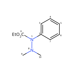 CCOC(=O)N(c1ccccc1)N(C)C